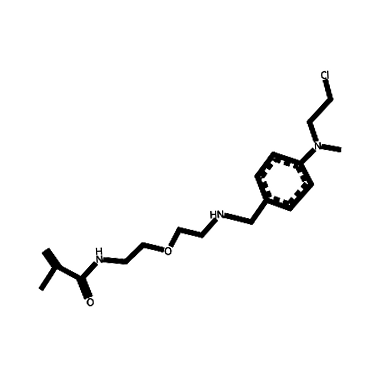 C=C(C)C(=O)NCCOCCNCc1ccc(N(C)CCCl)cc1